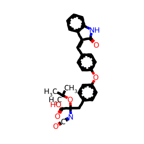 CC(C)(C)OC(Cc1ccc(Oc2ccc(C=C3C(=O)Nc4ccccc43)cc2)cc1)(N=C=O)C(=O)O